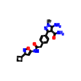 CC(C)n1nc(-c2ccc(CC(=O)Nc3cc(C4CCC4)no3)cc2)c(C(N)=O)c1N